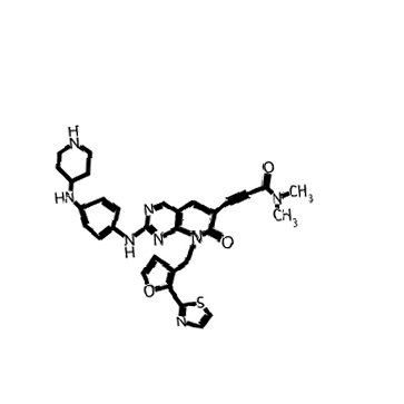 CN(C)C(=O)C#Cc1cc2cnc(Nc3ccc(NC4CCNCC4)cc3)nc2n(Cc2ccoc2-c2nccs2)c1=O